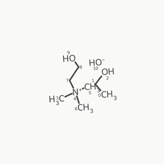 CCO.C[N+](C)(C)CCO.[OH-]